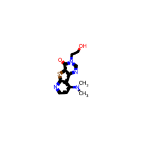 CN(C)c1ccnc2sc3c(=O)n(CCO)cnc3c12